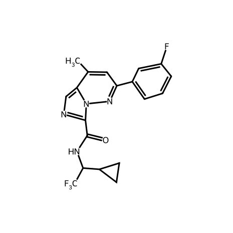 Cc1cc(-c2cccc(F)c2)nn2c(C(=O)NC(C3CC3)C(F)(F)F)ncc12